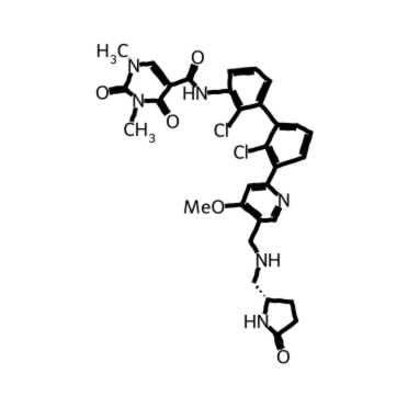 COc1cc(-c2cccc(-c3cccc(NC(=O)c4cn(C)c(=O)n(C)c4=O)c3Cl)c2Cl)ncc1CNC[C@@H]1CCC(=O)N1